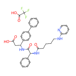 O=C(O)C(F)(F)F.O=C(O)CC(NC(=O)[C@@H](NC(=O)CCCCNc1ccccn1)c1ccccc1)c1ccc(-c2ccccc2)cc1